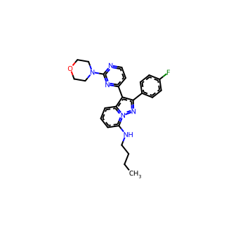 CCCCNc1cccc2c(-c3ccnc(N4CCOCC4)n3)c(-c3ccc(F)cc3)nn12